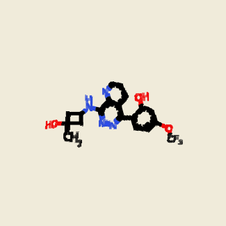 CC1(O)CC(Nc2nnc(-c3ccc(OC(F)(F)F)cc3O)c3cccnc23)C1